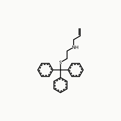 C=CCNCCSC(c1ccccc1)(c1ccccc1)c1ccccc1